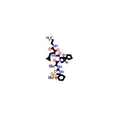 C=CCNC(=O)C(=O)C(CC1CC1)NC(=O)[C@@H]1[C@@H]2[C@H](CN1C(=O)[C@@H](NC(=O)NC1(CS(=O)(=O)C(C)(C)C)CCCCC1)C(C)(C)C)C21CCCC1